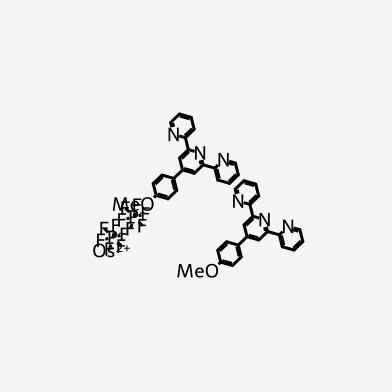 COc1ccc(-c2cc(-c3ccccn3)nc(-c3ccccn3)c2)cc1.COc1ccc(-c2cc(-c3ccccn3)nc(-c3ccccn3)c2)cc1.F[P-](F)(F)(F)(F)F.F[P-](F)(F)(F)(F)F.[Os+2]